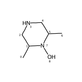 CC1CNCC(C)N1O